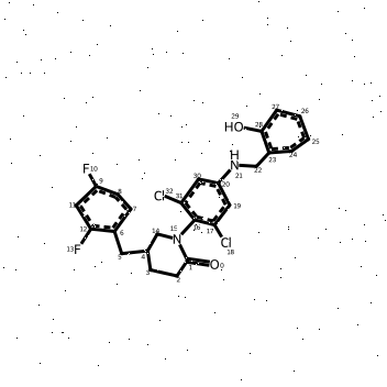 O=C1CCC(Cc2ccc(F)cc2F)CN1c1c(Cl)cc(NCc2ccccc2O)cc1Cl